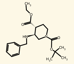 CCOC(=O)[C@@H]1CCN(C(=O)OC(C)(C)C)C[C@H]1NCc1ccccc1